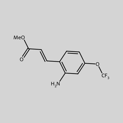 COC(=O)C=Cc1ccc(OC(F)(F)F)cc1N